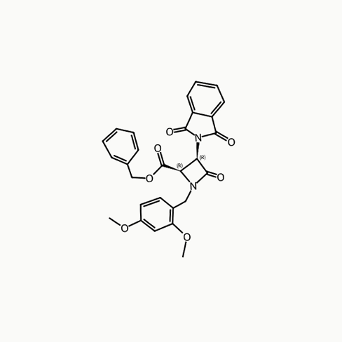 COc1ccc(CN2C(=O)[C@H](N3C(=O)c4ccccc4C3=O)[C@@H]2C(=O)OCc2ccccc2)c(OC)c1